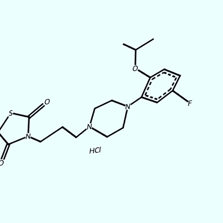 CC(C)Oc1ccc(F)cc1N1CCN(CCCN2C(=O)CSC2=O)CC1.Cl